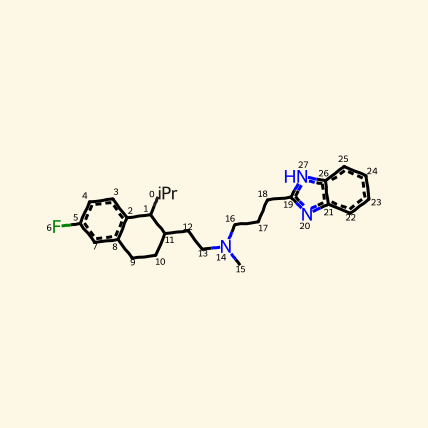 CC(C)C1c2ccc(F)cc2CCC1CCN(C)CCCc1nc2ccccc2[nH]1